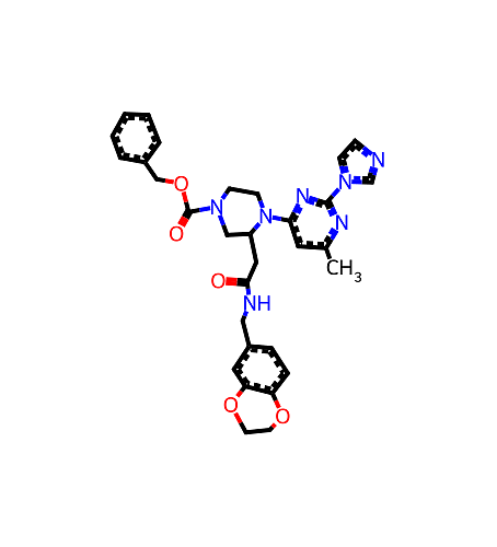 Cc1cc(N2CCN(C(=O)OCc3ccccc3)CC2CC(=O)NCc2ccc3c(c2)OCCO3)nc(-n2ccnc2)n1